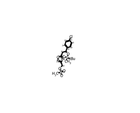 CC(C)(C)[Si](C)(C)OC(Cc1nc(COS(C)(=O)=O)no1)c1ccc(Cl)cc1